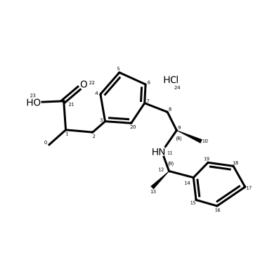 CC(Cc1cccc(C[C@@H](C)N[C@H](C)c2ccccc2)c1)C(=O)O.Cl